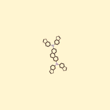 C1=Cc2ccc(N(c3ccc4c(c3)CC=C4)c3ccc4c(ccc5cc(N(c6ccc7c(c6)CC=C7)c6ccc7c(c6)CC=C7)ccc54)c3)cc2C1